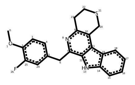 COc1ccc(Cc2nc3c(c4c2[nH]c2ccccc24)CSCC3)cc1F